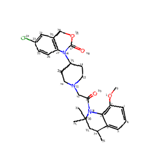 COc1cccc2c1N(C(=O)CN1CCC(N3C(=O)OCc4cc(Cl)ccc43)CC1)C(C)(C)CC2C